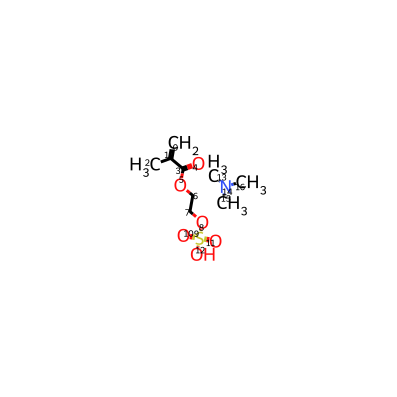 C=C(C)C(=O)OCCOS(=O)(=O)O.CN(C)C